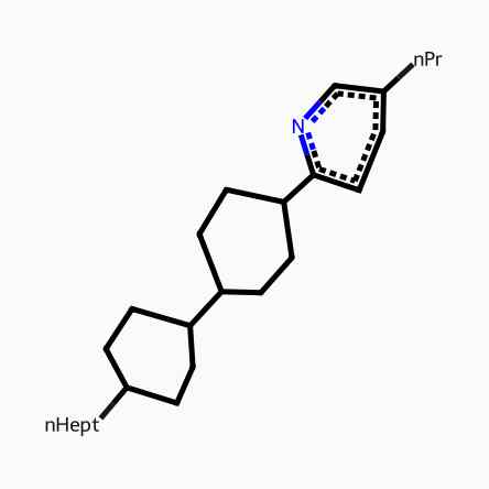 CCCCCCCC1CCC(C2CCC(c3ccc(CCC)cn3)CC2)CC1